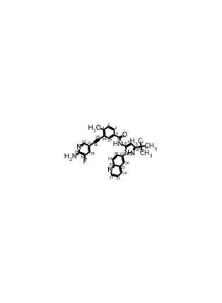 Cc1ccc(C(=O)Nc2cc(C(C)(C)C)nn2-c2ccc3ncccc3c2)cc1C#Cc1cnc(N)c(F)c1